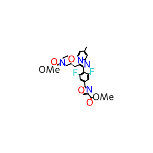 COC(=O)c1coc(-c2cc(F)c(-c3nc4cc(C)ccn4c3C[C@H]3CN(C(=O)OC)CCO3)c(F)c2)n1